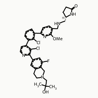 COc1nc(-c2cccc(-c3ccnc(-c4cc(F)c5c(c4)CCN(CC(C)(C)O)C5)c3Cl)c2Cl)ccc1CNC[C@@H]1CCC(=O)N1